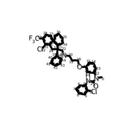 CN(C(=O)Nc1ccccc1Cl)c1cccc(OCCCNCC(Cc2cccc(C(F)(F)F)c2Cl)(c2ccccc2)c2ccccc2)c1